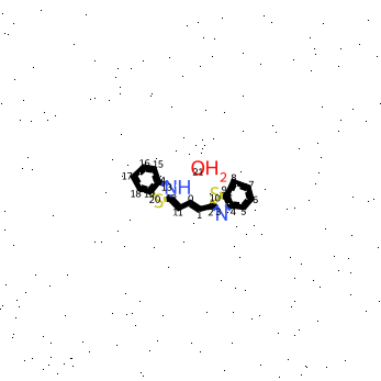 C(=Cc1nc2ccccc2s1)C=C1Nc2ccccc2S1.O